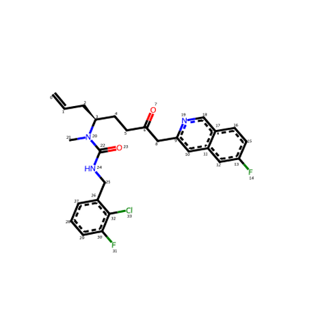 C=CC[C@@H](CCC(=O)Cc1cc2cc(F)ccc2cn1)N(C)C(=O)NCc1cccc(F)c1Cl